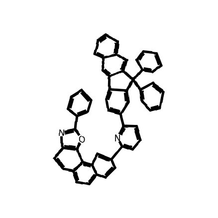 c1ccc(-c2nc3ccc4ccc5ccc(-c6cccc(-c7ccc8c(c7)C(c7ccccc7)(c7ccccc7)c7cc9ccccc9cc7-8)n6)cc5c4c3o2)cc1